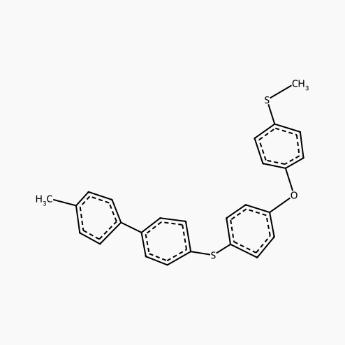 CSc1ccc(Oc2ccc(Sc3ccc(-c4ccc(C)cc4)cc3)cc2)cc1